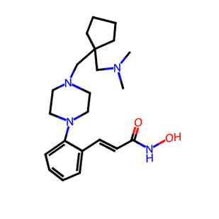 CN(C)CC1(CN2CCN(c3ccccc3C=CC(=O)NO)CC2)CCCC1